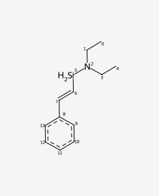 CCN(CC)[SiH2]C=Cc1ccccc1